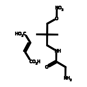 CC(C)(CNC(=O)CN)CO[N+](=O)[O-].O=C(O)C=CC(=O)O